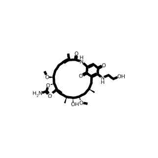 CO[C@H]1C[C@H](C)CC2=C(NCCO)C(=O)C=C(NC(=O)C(C)=CCC[C@H](OC)[C@@H](OC(N)=O)C(C)=C[C@H](C)[C@H]1O)C2=O